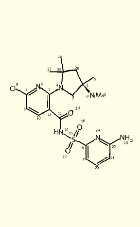 CN[C@@]1(C)CN(c2nc(Cl)ccc2C(=O)NS(=O)(=O)c2cccc(N)n2)C(C)(C)C1